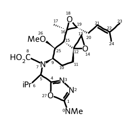 CNc1nnc(C(C(C)C)N(C(=O)O)[C@@H]2CC[C@]3(CO3)[C@@H]([C@@]3(C)O[C@@H]3CC=C(C)C)[C@@H]2OC)o1